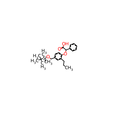 CCCc1cc(CO[Si](C)(C)C(C)(C)C)ccc1OC(C(=O)O)c1ccccc1